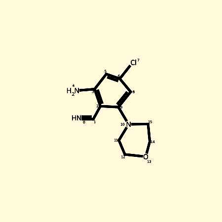 N=Cc1c(N)cc(Cl)cc1N1CCOCC1